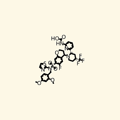 COc1ccc(CN(c2nccs2)S(=O)(=O)c2cc3c(cc2F)C(N2CC[C@@H](C(F)(F)F)C[C@H]2c2cccc(NC(=O)O)n2)CCO3)c(OC)c1